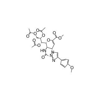 COC(=O)C1=C[C@H](n2cc(-c3ccc(OC)cc3)nn2)[C@@H](NC(C)=O)[C@H]([C@H](OC(C)=O)[C@@H](COC(C)=O)OC(C)=O)O1